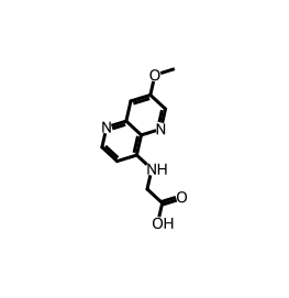 COc1cnc2c(NCC(=O)O)ccnc2c1